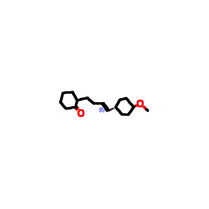 CO[C@H]1CC[C@H](/C=C/CCC2CCCCC2=O)CC1